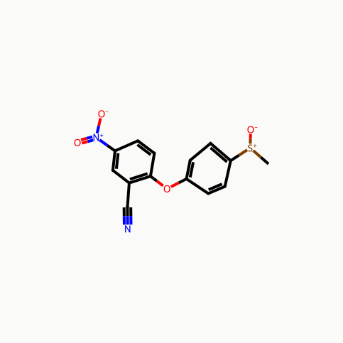 C[S+]([O-])c1ccc(Oc2ccc([N+](=O)[O-])cc2C#N)cc1